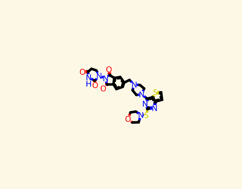 O=C1CCN(N2C(=O)c3ccc(CN4CCN(c5nc(SN6CCOCC6)nc6ccsc56)CC4)cc3C2=O)C(=O)N1